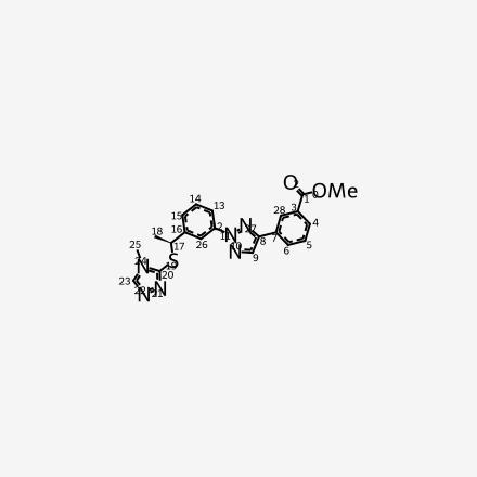 COC(=O)c1cccc(-c2cnn(-c3cccc([C@H](C)Sc4nncn4C)c3)n2)c1